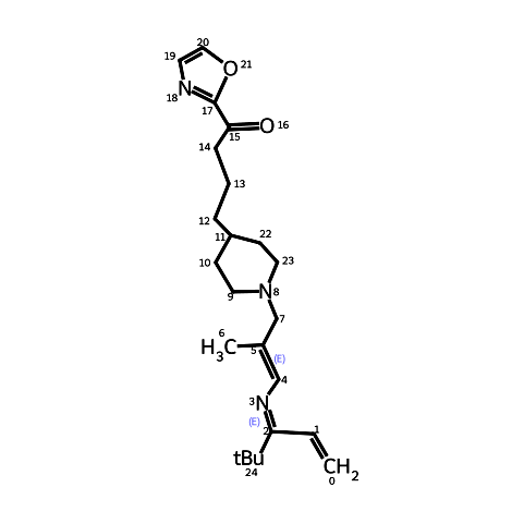 C=C/C(=N\C=C(/C)CN1CCC(CCCC(=O)c2ncco2)CC1)C(C)(C)C